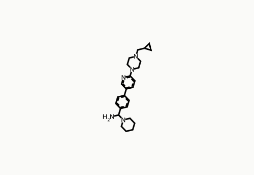 NC(c1ccc(-c2ccc(N3CCN(CC4CC4)CC3)nc2)cc1)N1CCCCC1